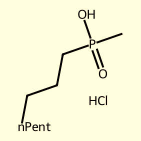 CCCCCCCCP(C)(=O)O.Cl